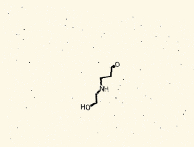 O=CCCNCCO